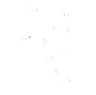 CCCC[C@@H](CCO)Nc1nc(N)ncc1OCc1cncn1[C@@H](C)c1ccccc1